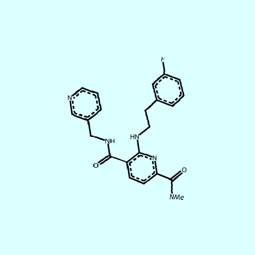 CNC(=O)c1ccc(C(=O)NCc2cccnc2)c(NCCc2cccc(F)c2)n1